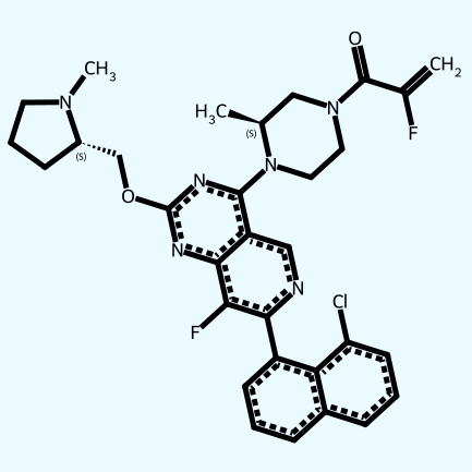 C=C(F)C(=O)N1CCN(c2nc(OC[C@@H]3CCCN3C)nc3c(F)c(-c4cccc5cccc(Cl)c45)ncc23)[C@@H](C)C1